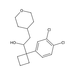 OC(CC1CCOCC1)C1(c2ccc(Cl)c(Cl)c2)CCC1